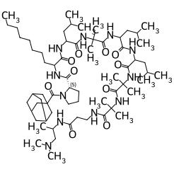 CCCCCCCCC(NC(=O)[C@@H]1CCCN1C(=O)C12CC3CC(CC(C3)C1)C2)C(=O)NC(CC(C)C)C(=O)NC(C)(C)C(=O)NC(CC(C)C)C(=O)NC(CC(C)C)C(=O)NC(C)(C)C(=O)NC(C)(C)C(=O)NCCC(=O)NC(C)CN(C)C